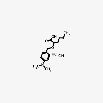 CCCCC(OCc1ccc(N(C)C)cc1)C(=O)O.Cl.Cl